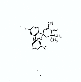 COC1(c2ncc(F)cc2-c2cncc(Cl)c2)C=C(C#N)C(=O)C(C)(C)C1